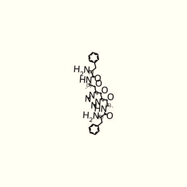 C[C@H](NC(=O)[C@H](N)Cc1ccccc1)C(=O)C(=[N+]=[N-])C(=O)C(=[N+]=[N-])C(=O)[C@H](C)NC(=O)[C@H](N)Cc1ccccc1